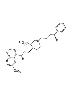 COc1ccc2nccc([C@H](F)CC[C@@H]3CCN(CCC[C@H](F)c4ccccc4)C[C@@H]3C(=O)O)c2c1